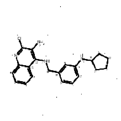 Nc1c(Cl)nc2ccccc2c1NCc1cccc(NC2CCCC2)c1